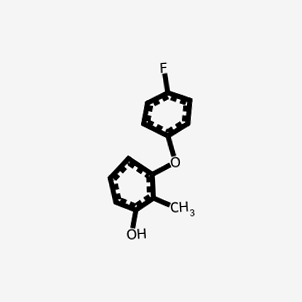 Cc1c(O)cccc1Oc1ccc(F)cc1